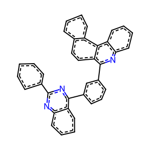 c1ccc(-c2nc(-c3cccc(-c4nc5ccccc5c5c4ccc4ccccc45)c3)c3ccccc3n2)cc1